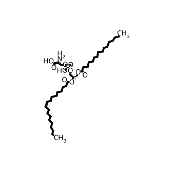 CCCCCCCCC/C=C\CCCCCCCC(=O)O[C@H](COC(=O)CCCCCCCCCCCCCCC)COP(=O)(O)OC[C@H](N)C(=O)O